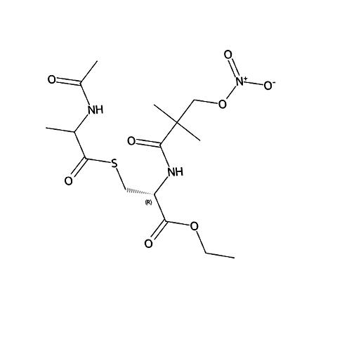 CCOC(=O)[C@H](CSC(=O)C(C)NC(C)=O)NC(=O)C(C)(C)CO[N+](=O)[O-]